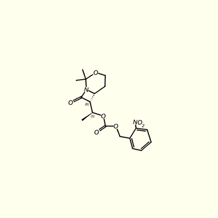 C[C@H](OC(=O)OCc1ccccc1[N+](=O)[O-])[C@@H]1C(=O)N2C1CCOC2(C)C